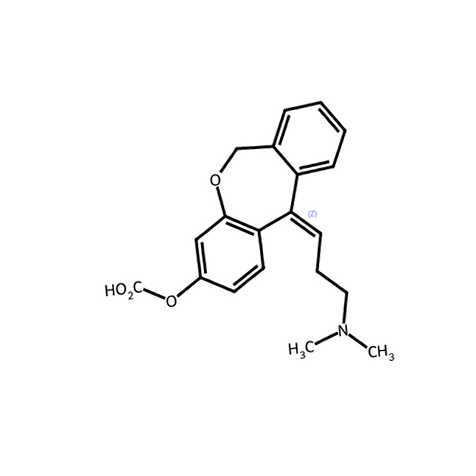 CN(C)CC/C=C1/c2ccccc2COc2cc(OC(=O)O)ccc21